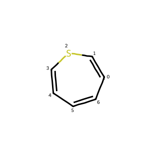 [C]1=CSC=CC=C1